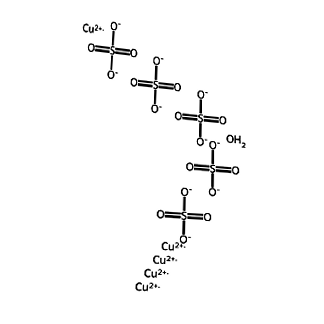 O.O=S(=O)([O-])[O-].O=S(=O)([O-])[O-].O=S(=O)([O-])[O-].O=S(=O)([O-])[O-].O=S(=O)([O-])[O-].[Cu+2].[Cu+2].[Cu+2].[Cu+2].[Cu+2]